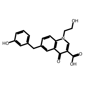 O=C(O)c1cn(CCO)c2ccc(Cc3cccc(O)c3)cc2c1=O